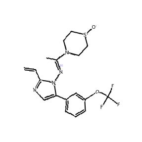 C=Cc1ncc(-c2cccc(OC(F)(F)F)c2)n1/N=C(\C)N1CC[S+]([O-])CC1